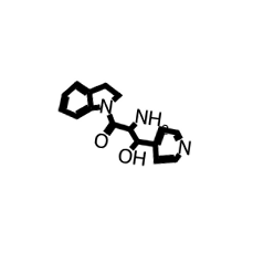 NC(C(=O)N1CCc2ccccc21)C(O)c1ccncc1